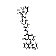 CC1(C)c2cc(/C=C/c3cccc4c(N5c6ccccc6Sc6ccccc65)cccc34)ccc2-c2ccc(N3CCCC4=C3CCC=C4)cc21